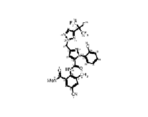 CNC(=O)c1cc(C#N)cc(C)c1NC(=O)c1cc(Cn2ncc(C(F)(C(F)(F)F)C(F)(F)F)n2)nn1-c1ccccc1Cl